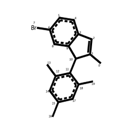 CC1=Cc2ccc(Br)cc2C1c1c(C)cc(C)cc1C